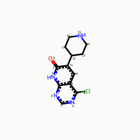 O=c1[nH]c2ncnc(Cl)c2cc1C1CCNCC1